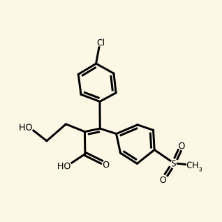 CS(=O)(=O)c1ccc(/C(=C(/CCO)C(=O)O)c2ccc(Cl)cc2)cc1